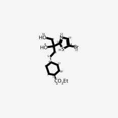 CCOC(=O)[C@H]1CC[C@H](CCC(O)(CO)c2ncc(Br)s2)CC1